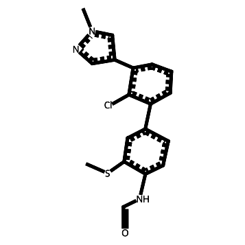 CSc1cc(-c2cccc(-c3cnn(C)c3)c2Cl)ccc1NC=O